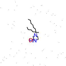 CCCCCCC(C)(CCCC)N1CCNC(=O)C1